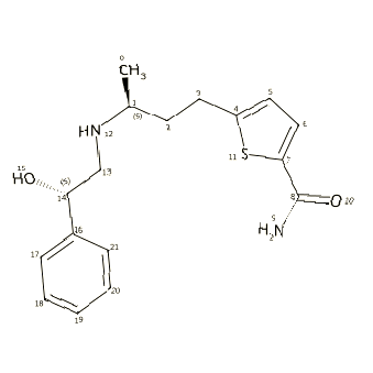 C[C@@H](CCc1ccc(C(N)=O)s1)NC[C@@H](O)c1ccccc1